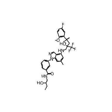 CCC(O)CNC(=O)c1cccc(-n2ncc3c(NCC(O)(CC(C)(C)c4cc(F)ccc4OC)C(F)(F)F)cc(C)cc32)c1